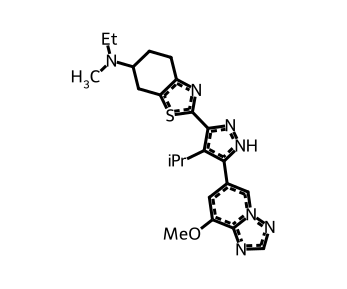 CCN(C)C1CCc2nc(-c3n[nH]c(-c4cc(OC)c5ncnn5c4)c3C(C)C)sc2C1